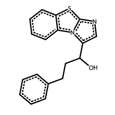 OC(CCc1ccccc1)c1cnc2sc3ccccc3n12